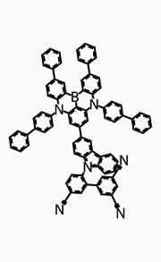 N#Cc1cc(C#N)cc(-c2cc(C#N)ccc2-n2c3ccccc3c3cc(-c4cc5c6c(c4)N(c4ccc(-c7ccccc7)cc4)c4ccc(-c7ccccc7)cc4B6c4cc(-c6ccccc6)ccc4N5c4ccc(-c5ccccc5)cc4)ccc32)c1